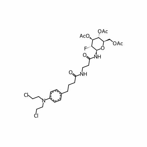 CC(=O)OC[C@H]1O[C@@H](NC(=O)CCNC(=O)CCCc2ccc(N(CCCl)CCCl)cc2)[C@H](F)[C@@H](OC(C)=O)[C@@H]1OC(C)=O